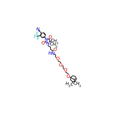 CC1CC2CCC(OCCOCCOCCOCCNC(=O)CCCN3C(=O)N(c4ccc(C#N)c(C(F)(F)F)c4)C(=O)C3(C)C)(C1)CC2C